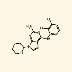 Nc1nc(Nc2cccc(Cl)c2Cl)c2ncn(C3CCCCO3)c2n1